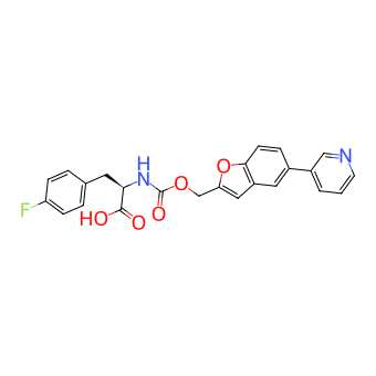 O=C(N[C@H](Cc1ccc(F)cc1)C(=O)O)OCc1cc2cc(-c3cccnc3)ccc2o1